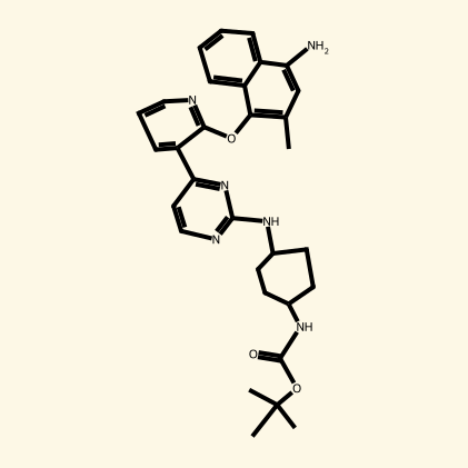 Cc1cc(N)c2ccccc2c1Oc1ncccc1-c1ccnc(NC2CCC(NC(=O)OC(C)(C)C)CC2)n1